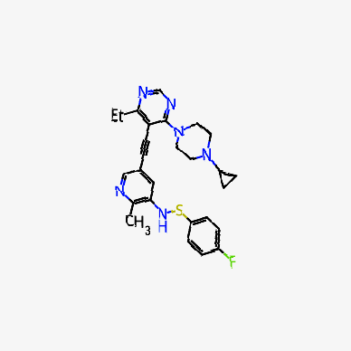 CCc1ncnc(N2CCN(C3CC3)CC2)c1C#Cc1cnc(C)c(NSc2ccc(F)cc2)c1